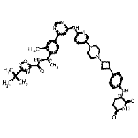 Cc1cc(-c2cc(Nc3ccc(N4CCN([C@H]5C[C@H](c6ccc(N[C@@H]7CCC(=O)NC7=O)cc6)C5)CC4)cn3)ncn2)ccc1[C@@H](C)NC(=O)c1nc(C(C)(C)C)no1